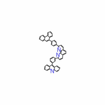 c1cc(-c2ccc3ccc4ccc(-c5ccc(-c6cc7ccccc7c7ccccc67)cc5)nc4c3n2)cc(-c2c3ccccc3nc3ccccc23)c1